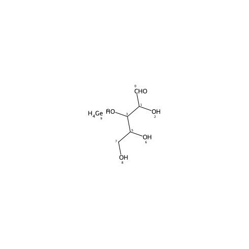 O=CC(O)C(O)C(O)CO.[GeH4]